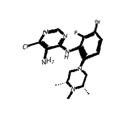 C[C@@H]1CN(c2ccc(Br)c(F)c2Nc2ncnc(Cl)c2N)C[C@H](C)N1C